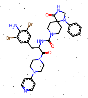 Nc1c(Br)cc(C[C@@H](NC(=O)N2CCC3(CC2)C(=O)NCN3c2ccccc2)C(=O)N2CCN(c3ccncc3)CC2)cc1Br